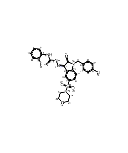 O=C1/C(=N\NC(=S)Nc2ccccc2F)c2cc(S(=O)(=O)N3CCOCC3)ccc2N1Cc1ccc(Cl)cc1